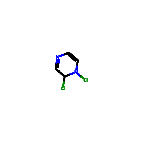 ClC1C=NC=CN1Cl